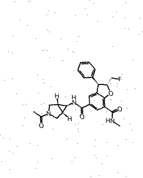 CNC(=O)c1cc(C(=O)N[C@H]2[C@@H]3CN(C(C)=O)C[C@@H]32)cc2c1O[C@@H](CF)[C@@H]2c1ccccc1